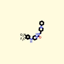 O=C(NCC1CCN(C2CCCCC2)CC1)N1CCC(Nc2ccc([N+](=O)[O-])c(C(F)(F)F)c2)CC1